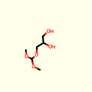 COC(OC)OCC(O)CO